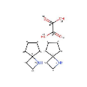 C1CCC2(C1)CCN2.C1CCC2(C1)CCN2.O=C(O)C(=O)O